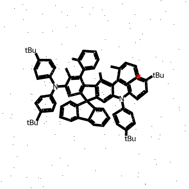 Cc1ccccc1-c1c(N(c2ccc(C(C)(C)C)cc2)c2ccc(C(C)(C)C)cc2)cc2c(c1C)-c1c(cc(N(c3ccc(C(C)(C)C)cc3)c3ccc(C(C)(C)C)cc3)c(C)c1-c1ccccc1C)C21c2ccccc2-c2ccccc21